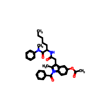 CCCCCC(NC(=O)Cc1c(C)n(C(=O)c2ccccc2)c2ccc(OC(C)=O)cc12)C(=O)N(C)c1ccccc1